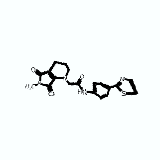 CN1C(=O)C2=C(C1=O)N(CC(=O)Nc1ccc(-c3nccs3)cc1)CCC2